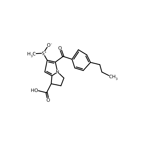 CCCc1ccc(C(=O)c2c([S+](C)[O-])cc3n2CCC3C(=O)O)cc1